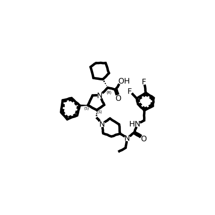 CCN(C(=O)NCc1ccc(F)c(F)c1)C1CCN(C[C@H]2CN([C@@H](C(=O)O)C3CCCCC3)C[C@@H]2c2ccccc2)CC1